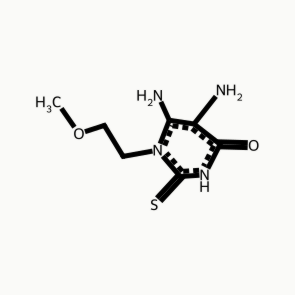 COCCn1c(N)c(N)c(=O)[nH]c1=S